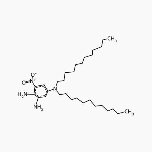 CCCCCCCCCCCCN(CCCCCCCCCCCC)c1cc(N)c(N)c([N+](=O)[O-])c1